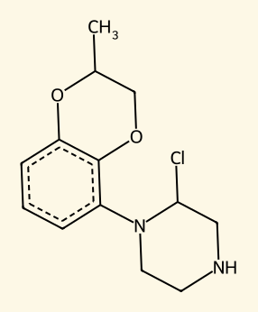 CC1COc2c(cccc2N2CCNCC2Cl)O1